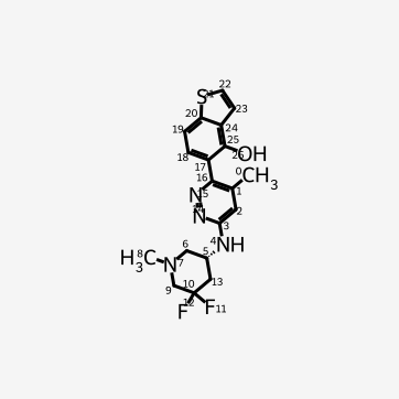 Cc1cc(N[C@H]2CN(C)CC(F)(F)C2)nnc1-c1ccc2sccc2c1O